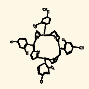 Clc1ccc(-c2c3nc(c(-c4ccc(Cl)cc4Cl)c4ccc([nH]4)c(-c4ccc(Cl)cc4Cl)c4nc(c(-c5ccc(Cl)cc5Cl)c5ccc2[nH]5)C=C4)C=C3)c(Cl)c1.[Cu]